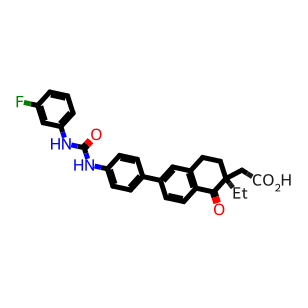 CCC1(CC(=O)O)CCc2cc(-c3ccc(NC(=O)Nc4cccc(F)c4)cc3)ccc2C1=O